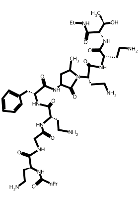 CCCC(=O)N[C@@H](CCN)C(=O)NCC(=O)N[C@@H](CCN)C(=O)N[C@H](Cc1ccccc1)C(=O)N[C@H]1CC(C)N([C@@H](CCN)C(=O)N[C@@H](CCN)C(=O)N[C@H](C(=O)NCC)[C@@H](C)O)C1=O